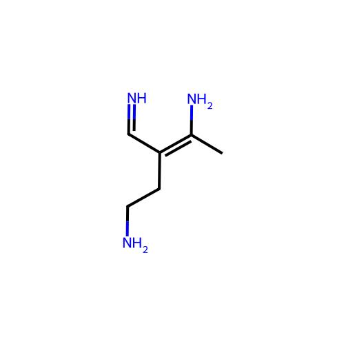 C/C(N)=C(/C=N)CCN